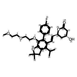 COCCOCCOc1c2c(c(C(C)C)c(/C=C/[C@@H]3C[C@@H](O)CC(=O)O3)c1-c1ccc(F)cc1)CC(C)(C)O2